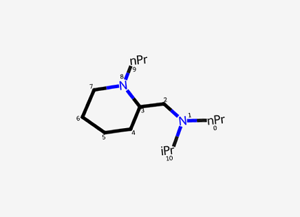 CCCN(CC1CCCCN1CCC)C(C)C